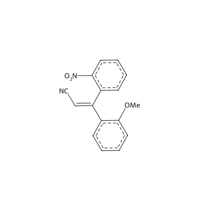 COc1ccccc1C(=CC#N)c1ccccc1[N+](=O)[O-]